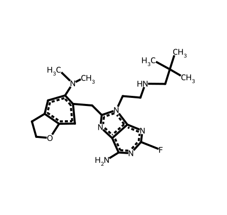 CN(C)c1cc2c(cc1Cc1nc3c(N)nc(F)nc3n1CCNCC(C)(C)C)OCC2